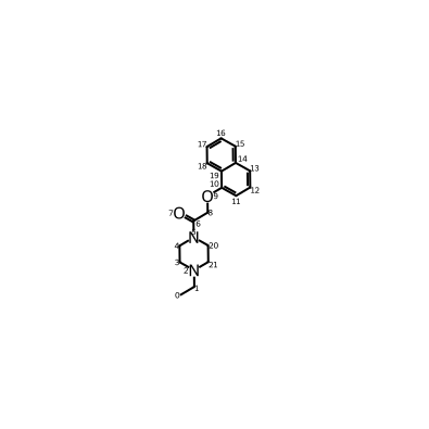 CCN1CCN(C(=O)COc2cccc3ccccc23)CC1